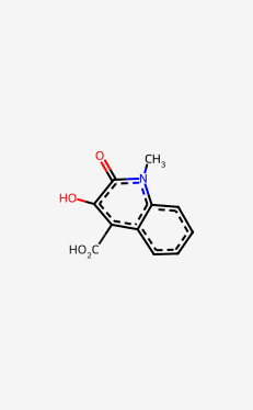 Cn1c(=O)c(O)c(C(=O)O)c2ccccc21